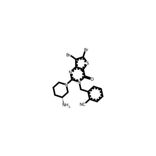 N#Cc1ccccc1Cn1c(N2CCC[C@@H](N)C2)nc2c(Br)c(Br)sc2c1=O